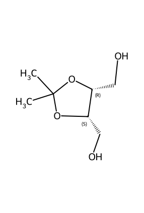 CC1(C)O[C@@H](CO)[C@@H](CO)O1